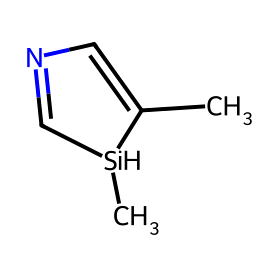 CC1=CN=C[SiH]1C